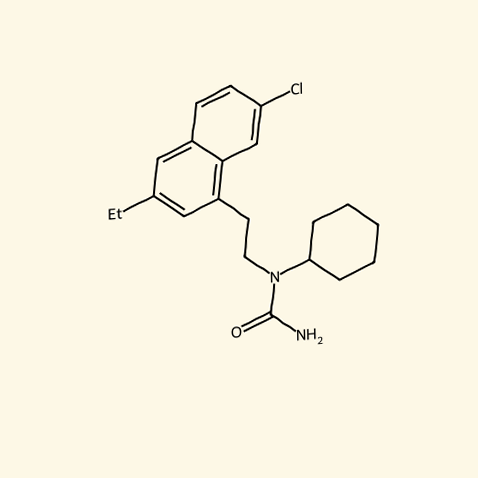 CCc1cc(CCN(C(N)=O)C2CCCCC2)c2cc(Cl)ccc2c1